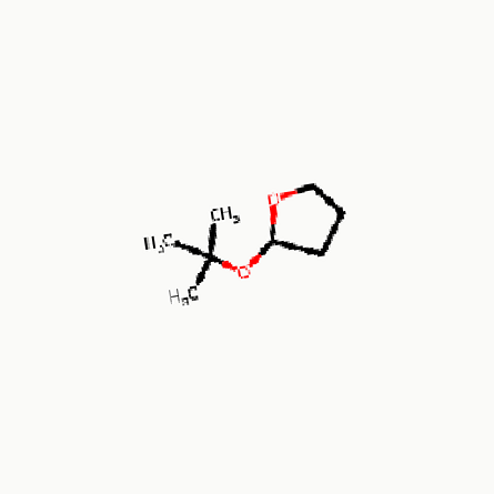 CC(C)(C)OC1CCCO1